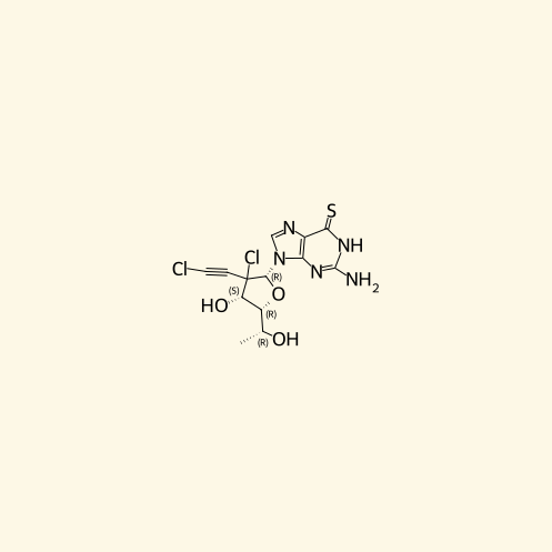 C[C@@H](O)[C@H]1O[C@@H](n2cnc3c(=S)[nH]c(N)nc32)C(Cl)(C#CCl)[C@H]1O